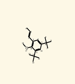 CC=Cc1cc(C(C)(C)C)cc(C(C)(C)C)c1OC